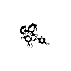 C[C@@H]1CC(F)(F)CN(C(=O)C2N=CC=CC2(C)c2ncccn2)[C@@H]1COc1ccc(C(F)(F)F)cn1